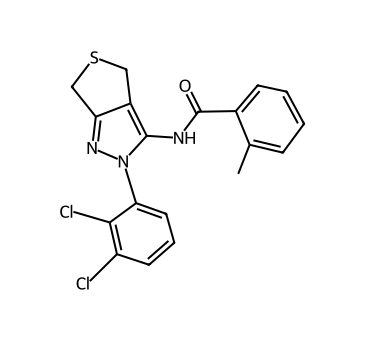 Cc1ccccc1C(=O)Nc1c2c(nn1-c1cccc(Cl)c1Cl)CSC2